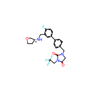 O=C1CN(Cc2ccc(-c3ccc(F)c(CN[C@@H]4CCOC4)c3)cc2)C(=O)N1CC(F)(F)F